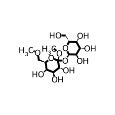 COC[C@H]1O[C@](OC)(O[C@H]2O[C@H](CO)[C@H](O)[C@H](O)[C@H]2O)[C@H](O)[C@@H](O)[C@H]1O